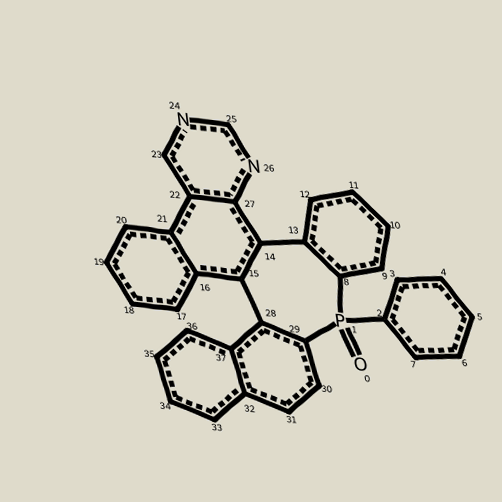 O=P1(c2ccccc2)c2ccccc2-c2c(c3ccccc3c3cncnc23)-c2c1ccc1ccccc21